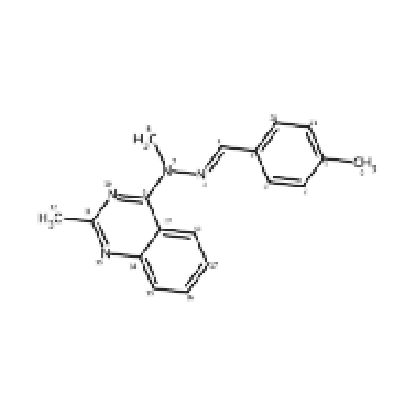 Cc1ccc(/C=N/N(C)c2nc(C)nc3ccccc23)cc1